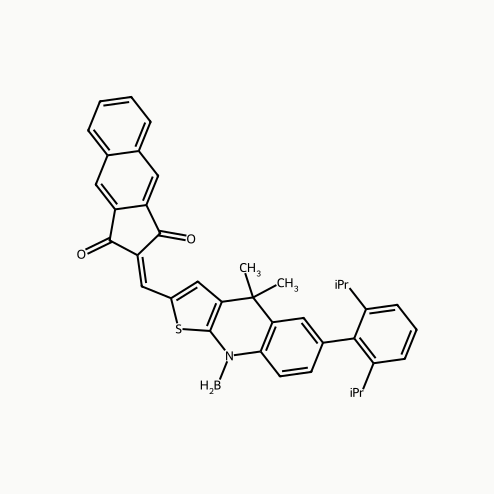 BN1c2ccc(-c3c(C(C)C)cccc3C(C)C)cc2C(C)(C)c2cc(C=C3C(=O)c4cc5ccccc5cc4C3=O)sc21